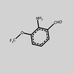 Nc1c(C=O)cccc1OC(F)(F)F